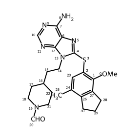 COc1c(Sc2nc3c(N)ncnc3n2CCC2CCN(C=O)CC2)cc(C)c2c1CCC2